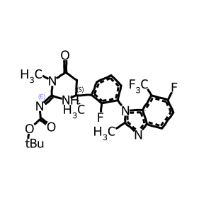 Cc1nc2ccc(F)c(C(F)(F)F)c2n1-c1cccc([C@]2(C)CC(=O)N(C)/C(=N/C(=O)OC(C)(C)C)N2)c1F